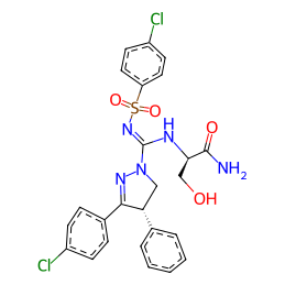 NC(=O)[C@@H](CO)N/C(=N\S(=O)(=O)c1ccc(Cl)cc1)N1C[C@H](c2ccccc2)C(c2ccc(Cl)cc2)=N1